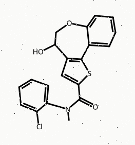 CN(C(=O)c1cc2c(s1)-c1ccccc1OCC2O)c1ccccc1Cl